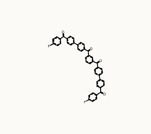 O=C(c1ccc(F)cc1)c1ccc(-c2ccc(C(=O)c3cccc(C(=O)c4ccc(-c5ccc(C(=O)c6ccc(F)cc6)cc5)cc4)c3)cc2)cc1